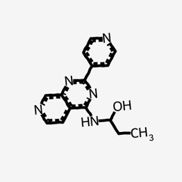 CCC(O)Nc1nc(-c2ccncc2)nc2cnccc12